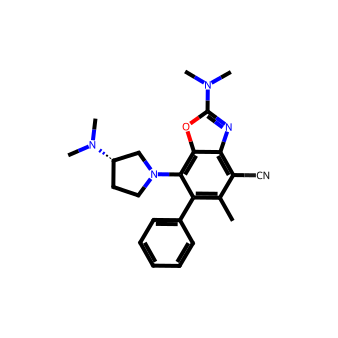 Cc1c(-c2ccccc2)c(N2CC[C@H](N(C)C)C2)c2oc(N(C)C)nc2c1C#N